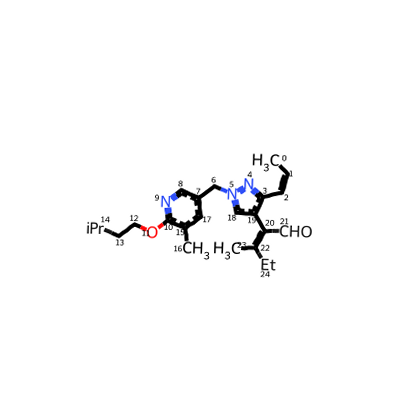 C/C=C\c1nn(Cc2cnc(OCCC(C)C)c(C)c2)cc1/C(C=O)=C(\C)CC